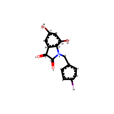 O=C1C(=O)N(Cc2ccc(I)cc2)c2c(Br)cc(Br)cc21